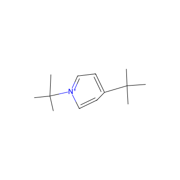 CC(C)(C)c1cc[n+](C(C)(C)C)cc1